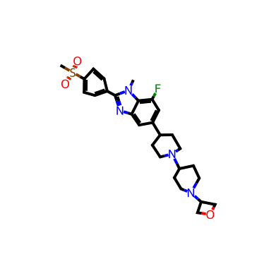 Cn1c(-c2ccc(S(C)(=O)=O)cc2)nc2cc(C3CCN(C4CCN(C5COC5)CC4)CC3)cc(F)c21